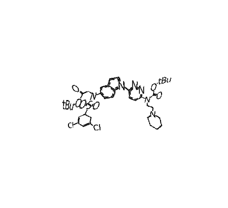 CC(C)(C)OC(=O)CN(c1ccc2c(ccn2-c2ccc(N(CCN3CCCCC3)C(=O)OC(C)(C)C)nn2)c1)S(=O)(=O)C1C=C(Cl)C=C(Cl)C1